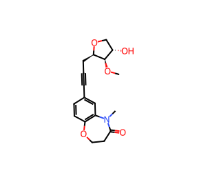 CO[C@@H]1[C@@H](O)CO[C@@H]1CC#Cc1ccc2c(c1)N(C)C(=O)CCO2